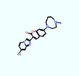 CCc1ccn2cc(-c3cc4ccc(N5CCCN(C)CC5)cc4oc3=O)nc2c1